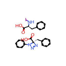 O=C(O)[C@@]1(Cc2ccccc2)N=NN1c1ccccc1.O=C(O)[C@H](Cc1ccccc1)NI